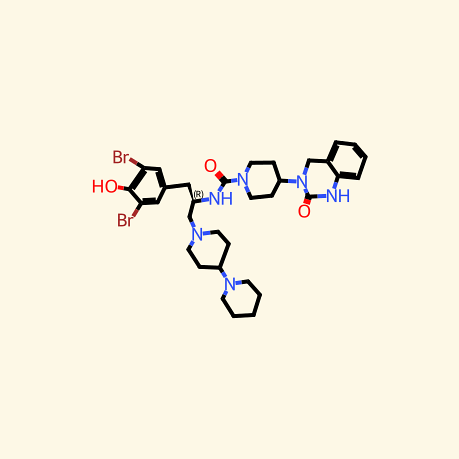 O=C(N[C@H](Cc1cc(Br)c(O)c(Br)c1)CN1CCC(N2CCCCC2)CC1)N1CCC(N2Cc3ccccc3NC2=O)CC1